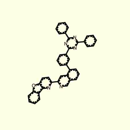 c1ccc(-c2nc(-c3ccccc3)nc(-c3cccc(-c4cccc5cnc(-c6ccc7oc8ccccc8c7n6)cc45)c3)n2)cc1